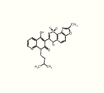 Cc1nc2c3c(ccc2o1)NC(c1c(O)c2cccnc2n(CCC(C)C)c1=O)=NS3(=O)=O